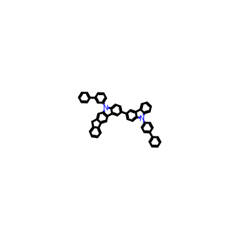 c1ccc(-c2ccc(-n3c4ccccc4c4cc(-c5ccc6c(c5)c5cc7c(cc5n6-c5cccc(-c6ccccc6)c5)Cc5ccccc5-7)ccc43)cc2)cc1